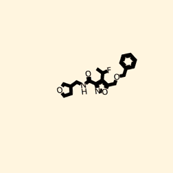 CC(F)c1c(C(=O)NCC2CCOC2)noc1COCc1ccccc1